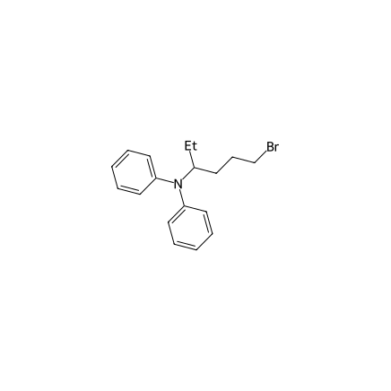 CCC(CCCBr)N(c1ccccc1)c1ccccc1